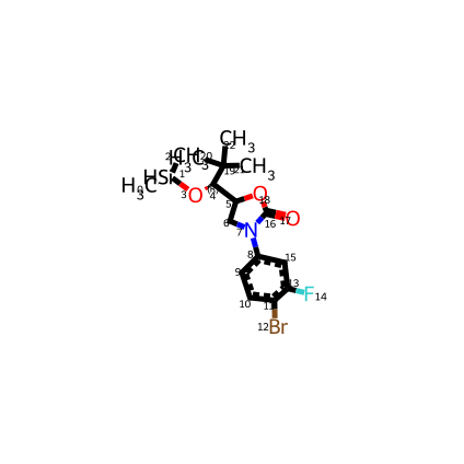 C[SiH](C)O[C@@H](C1CN(c2ccc(Br)c(F)c2)C(=O)O1)C(C)(C)C